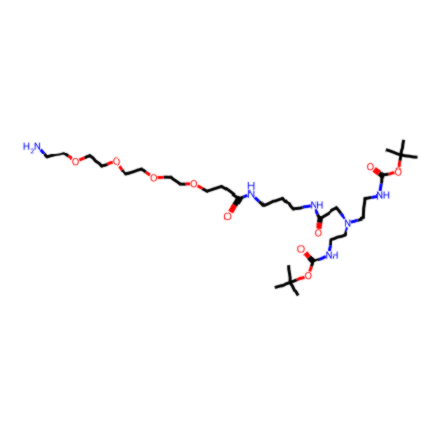 CC(C)(C)OC(=O)NCCN(CCNC(=O)OC(C)(C)C)CC(=O)NCCCNC(=O)CCOCCOCCOCCOCCN